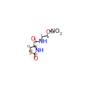 O=C1N[C@@H](C(=O)NCCO[N+](=O)[O-])CS1